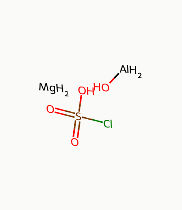 O=S(=O)(O)Cl.[MgH2].[OH][AlH2]